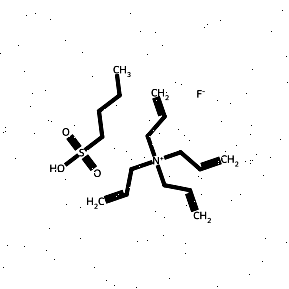 C=CC[N+](CC=C)(CC=C)CC=C.CCCCS(=O)(=O)O.[F-]